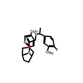 COc1cc(C(C)NCC(=O)N2CC3CCC(C2)N3c2ccc(C#N)cn2)ccc1F